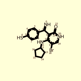 N=C(c1ccc(S)cc1)c1c(NC2CCCC2)c(Br)c[nH]c1=O